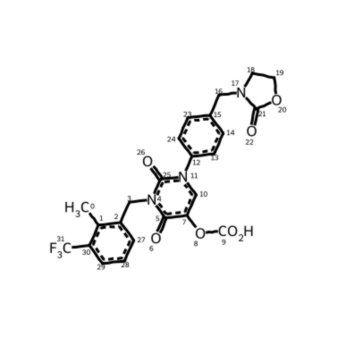 Cc1c(Cn2c(=O)c(OC(=O)O)cn(-c3ccc(CN4CCOC4=O)cc3)c2=O)cccc1C(F)(F)F